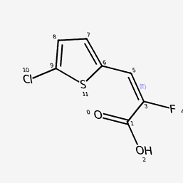 O=C(O)/C(F)=C\c1ccc(Cl)s1